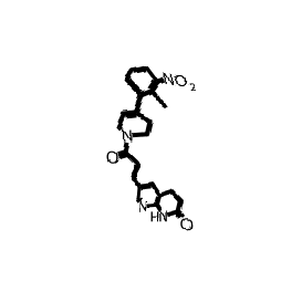 Cc1c(C2=CCN(C(=O)C=Cc3cnc4c(c3)CCC(=O)N4)CC2)cccc1[N+](=O)[O-]